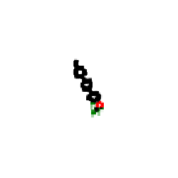 CCC1CCC(c2ccc(-c3ccc(OC(F)(F)F)cc3)cc2)CC1